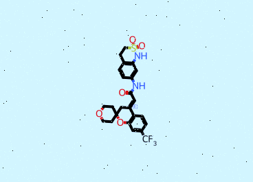 O=C(/C=C1\CC2(CCOCC2)Oc2cc(C(F)(F)F)ccc21)Nc1ccc2c(c1)NS(=O)(=O)CC2